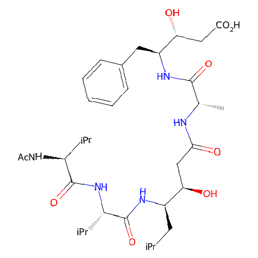 CC(=O)N[C@H](C(=O)N[C@H](C(=O)N[C@H](CC(C)C)[C@H](O)CC(=O)N[C@@H](C)C(=O)N[C@@H](Cc1ccccc1)[C@H](O)CC(=O)O)C(C)C)C(C)C